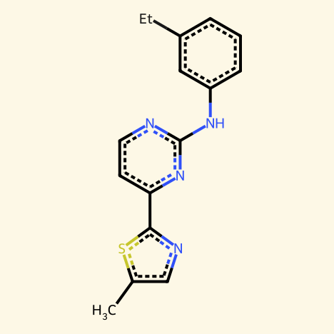 CCc1cccc(Nc2nccc(-c3ncc(C)s3)n2)c1